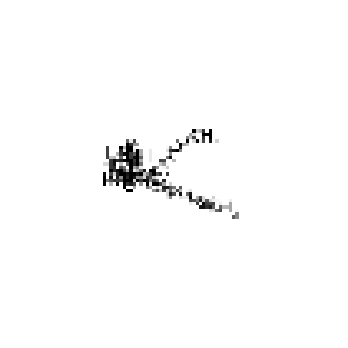 CCCCCCCCCCCOC(COP(=O)(O)n1c(=O)[nH]c2[nH]c(=O)[nH]c2c1=O)C[S+]([O-])CCCCCCCCCCC